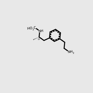 C[C@@H](Cc1cccc(CCN)c1)NC(=O)O